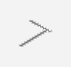 [CH2]CCC(CCCCCCCCCCCC)CCCCCCCCCCCCCCCCCCCC